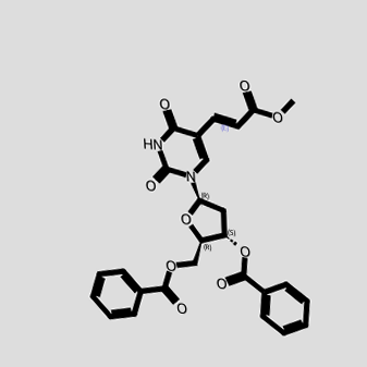 COC(=O)/C=C/c1cn([C@H]2C[C@H](OC(=O)c3ccccc3)[C@@H](COC(=O)c3ccccc3)O2)c(=O)[nH]c1=O